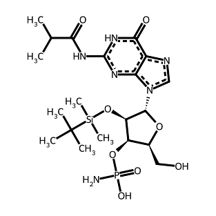 CC(C)C(=O)Nc1nc2c(ncn2[C@@H]2O[C@@H](CO)[C@@H](OP(N)(=O)O)[C@H]2O[Si](C)(C)C(C)(C)C)c(=O)[nH]1